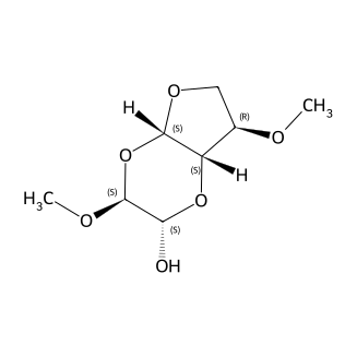 CO[C@H]1O[C@@H]2OC[C@@H](OC)[C@@H]2O[C@@H]1O